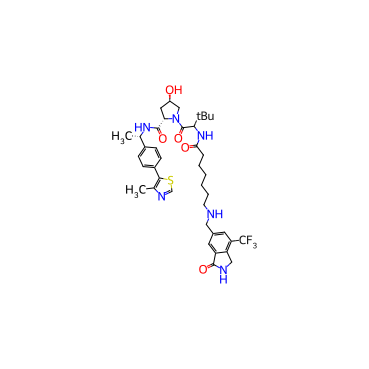 Cc1ncsc1-c1ccc([C@H](C)NC(=O)[C@@H]2C[C@@H](O)CN2C(=O)C(NC(=O)CCCCCCNCc2cc3c(c(C(F)(F)F)c2)CNC3=O)C(C)(C)C)cc1